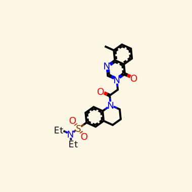 CCN(CC)S(=O)(=O)c1ccc2c(c1)CCCN2C(=O)Cn1cnc2c(C)cccc2c1=O